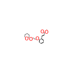 COC(=O)/C=C/c1ccccc1OCCOC1CCCCO1